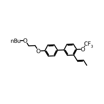 C/C=C/c1cc(-c2ccc(OCCOCCCC)cc2)ccc1OC(F)(F)F